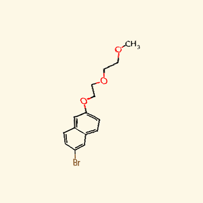 COCCOCCOc1ccc2cc(Br)ccc2c1